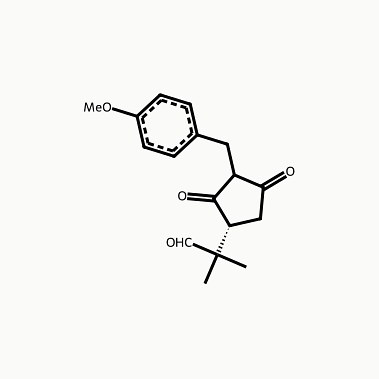 COc1ccc(CC2C(=O)C[C@H](C(C)(C)C=O)C2=O)cc1